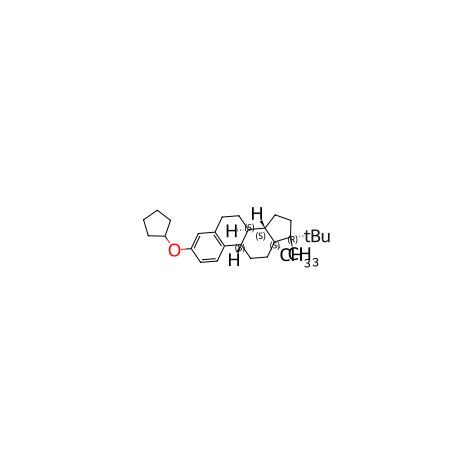 CC(C)(C)[C@@]1(C)CC[C@H]2[C@@H]3CCc4cc(OC5CCCC5)ccc4[C@H]3CC[C@@]21C